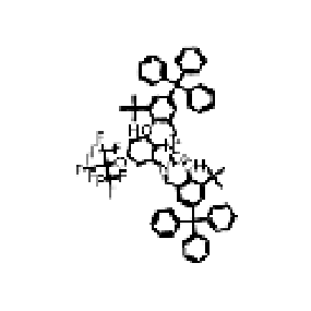 CC(C)(C)c1cc(C(c2ccccc2)(c2ccccc2)c2ccccc2)cc(C=[N+]2[Co][N+](=Cc3cc(C(c4ccccc4)(c4ccccc4)c4ccccc4)cc(C(C)(C)C)c3O)C3CCCCC32)c1O.[O-]C(C(F)(F)F)(C(F)(F)F)C(F)(F)F